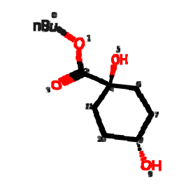 CCCCOC(=O)[C@]1(O)CC[C@H](O)CC1